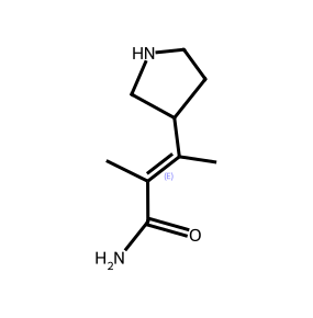 C/C(C(N)=O)=C(/C)C1CCNC1